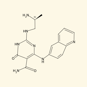 C[C@H](N)CNc1nc(Nc2ccc3ncccc3c2)c(C(N)=O)c(=O)[nH]1